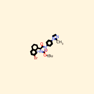 Cc1nccn1-c1ccc(NC(=O)[C@@H](NC(=O)OC(C)(C)C)C2CCCc3ccc(Br)cc32)cc1